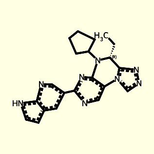 CC[C@@H]1c2nncn2-c2cnc(-c3cnc4[nH]ccc4c3)nc2N1C1CCCC1